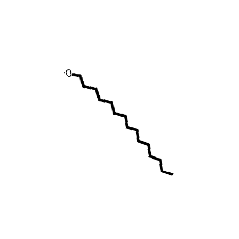 CCCCCCCCCCCCCCC[O]